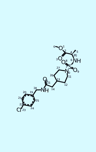 COC(=O)[C@@H](C)NS(=O)(=O)N1CCC(CC(=O)NCc2ccc(Cl)cc2)CC1